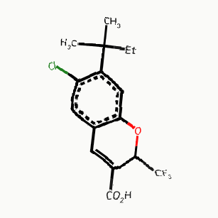 CCC(C)(C)c1cc2c(cc1Cl)C=C(C(=O)O)C(C(F)(F)F)O2